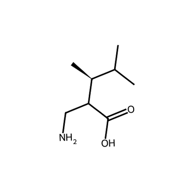 CC(C)[C@H](C)C(CN)C(=O)O